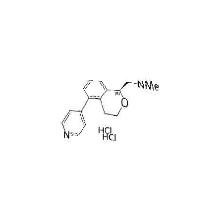 CNC[C@H]1OCCc2c(-c3ccncc3)cccc21.Cl.Cl